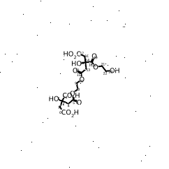 O=C(O)CC(O)(CC(=O)OCCOC(=O)CC(O)(CC(=O)O)C(=O)OCCO)C(=O)O